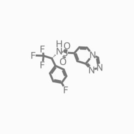 O=S(=O)(N[C@H](c1ccc(F)cc1)C(F)(F)F)c1ccn2cnnc2c1